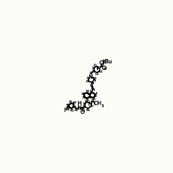 CC(c1ccc(C#CC2CCN(CC3CCN(C(=O)OC(C)(C)C)CC3)CC2)c2ccccc12)N1CCC(C(=O)NCc2cccc(F)c2)CC1